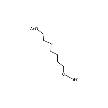 CCCOCCCC[CH]CCOC(C)=O